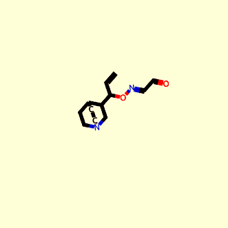 C=CC(ON=CC=O)C1CN2CCC1CC2